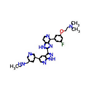 CCNCc1cncc(-c2cnc3[nH]nc(-c4nc5c(-c6cc(F)cc(OCCN(C)C)c6)nccc5[nH]4)c3c2)c1